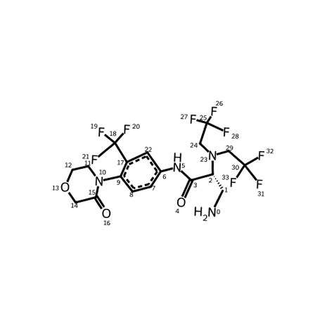 NC[C@H](C(=O)Nc1ccc(N2CCOCC2=O)c(C(F)(F)F)c1)N(CC(F)(F)F)CC(F)(F)F